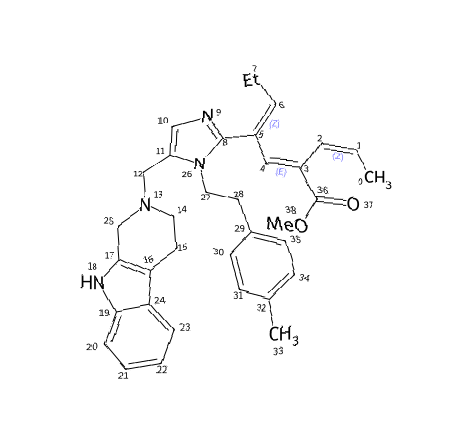 C\C=C/C(=C\C(=C\CC)c1ncc(CN2CCc3c([nH]c4ccccc34)C2)n1CCc1ccc(C)cc1)C(=O)OC